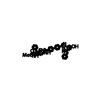 CCCN(Cc1ncc(-c2ccc(-c3ccc(-c4cnc([C@@H]5C[C@H](O)CN5C(=O)Cc5ccccc5)[nH]4)cc3)cc2)[nH]1)C(=O)[C@H](NC(=O)OC)c1ccccc1